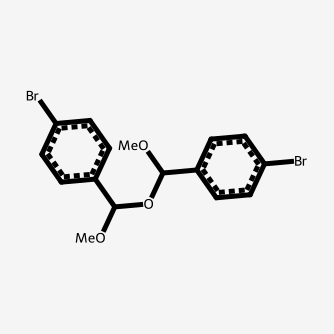 COC(OC(OC)c1ccc(Br)cc1)c1ccc(Br)cc1